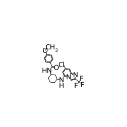 COc1ccc(C(=O)N[C@@H]2CCC[C@H](Nc3cc(Cl)cc4nc(C(F)(F)F)cn34)C2)cc1